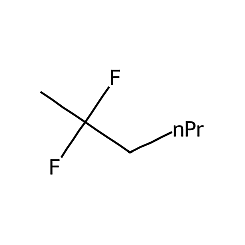 [CH2]CCCC(C)(F)F